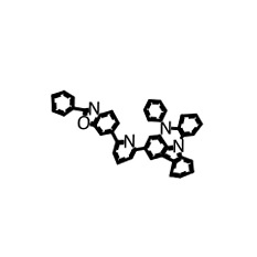 c1ccc(-c2nc3ccc(-c4cccc(-c5cc6c7c(c5)c5ccccc5n7-c5ccccc5N6c5ccccc5)n4)cc3o2)cc1